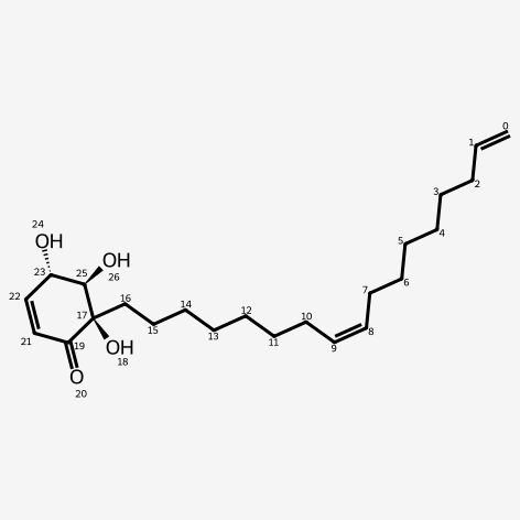 C=CCCCCCC/C=C\CCCCCCC[C@]1(O)C(=O)C=C[C@H](O)[C@H]1O